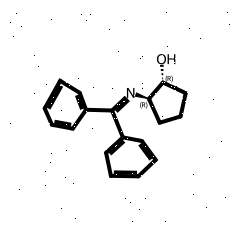 O[C@@H]1CCC[C@H]1N=C(c1ccccc1)c1ccccc1